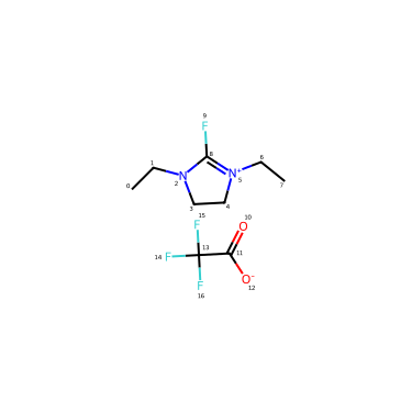 CCN1CC[N+](CC)=C1F.O=C([O-])C(F)(F)F